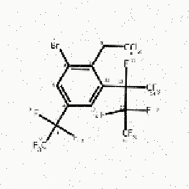 FC(F)(F)C(F)(F)c1[c]c(Br)c(CC(Cl)(Cl)Cl)c(C(F)(C(F)(F)F)C(F)(F)C(F)(F)F)c1